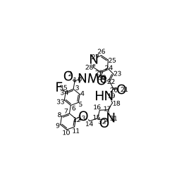 CNC(=O)c1ccc(-c2ccccc2OCC2CC(CNC(=O)c3cc4ccncc4o3)=NO2)cc1F